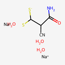 N#CC(C(N)=O)C([S-])[S-].O.O.O.[Na+].[Na+]